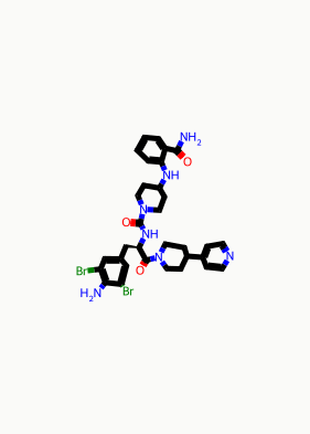 NC(=O)c1ccccc1NC1CCN(C(=O)N[C@H](Cc2cc(Br)c(N)c(Br)c2)C(=O)N2CCC(c3ccncc3)CC2)CC1